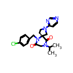 CC(C)N1CC(=O)N(Cc2ccc(Cl)cc2)[C@@]2(CCN(c3ccncn3)C2)C1=O